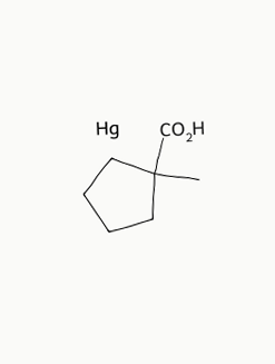 CC1(C(=O)O)CCCC1.[Hg]